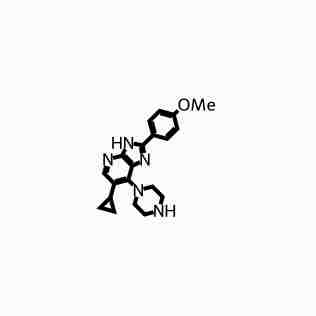 COc1ccc(-c2nc3c(N4CCNCC4)c(C4CC4)cnc3[nH]2)cc1